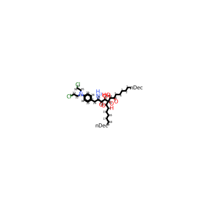 CCCCCCCCCCCCCCCC(=O)C(O)C(O)(C(=O)CCCCCCCCCCCCCCC)C(O)C(=O)C(N)Cc1ccc(N(CCCl)CCCl)cc1